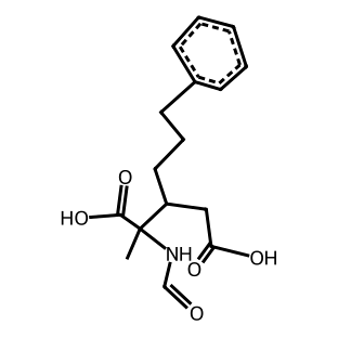 CC(NC=O)(C(=O)O)C(CCCc1ccccc1)CC(=O)O